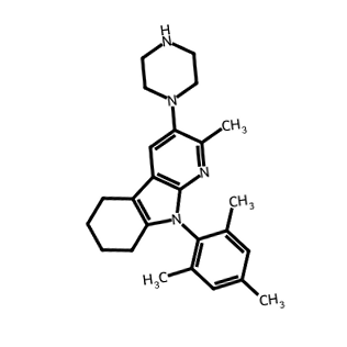 Cc1cc(C)c(-n2c3c(c4cc(N5CCNCC5)c(C)nc42)CCCC3)c(C)c1